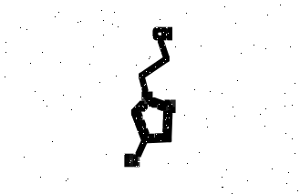 CCc1cnn(CCC#N)c1